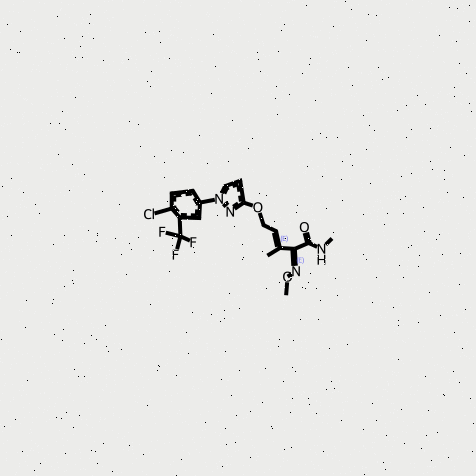 CNC(=O)C(=N/OC)/C(C)=C/COc1ccn(-c2ccc(Cl)c(C(F)(F)F)c2)n1